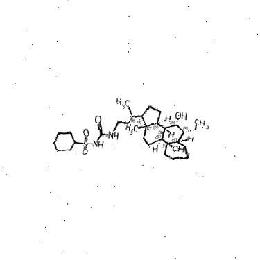 CC[C@H]1[C@@H](O)[C@@H]2[C@H](CC[C@]3(C)[C@@H]([C@H](C)CCNC(=O)NS(=O)(=O)C4CCCCC4)CC[C@@H]23)[C@@]2(C)CCCC[C@@H]12